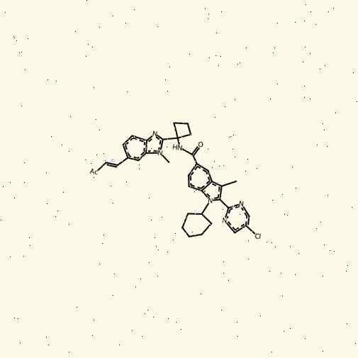 CC(=O)/C=C/c1ccc2nc(C3(NC(=O)c4ccc5c(c4)c(C)c(-c4ncc(Cl)cn4)n5C4CCCCC4)CCC3)n(C)c2c1